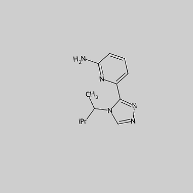 CC(C)C(C)n1cnnc1-c1cccc(N)n1